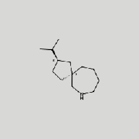 CC(C)[C@@H]1CC[C@@]2(CCCCNC2)C1